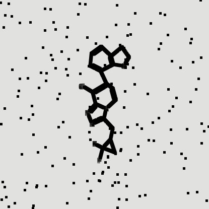 FC1(F)CC1Cc1nnc2c(Cl)c(-c3cccc4c3OCC4)ccn12